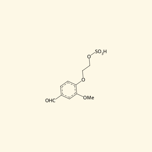 COc1cc(C=O)ccc1OCCOS(=O)(=O)O